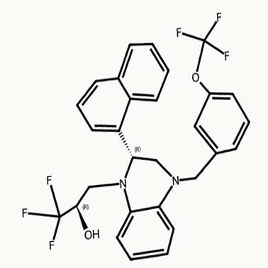 O[C@H](CN1c2ccccc2N(Cc2cccc(OC(F)(F)F)c2)C[C@H]1c1cccc2ccccc12)C(F)(F)F